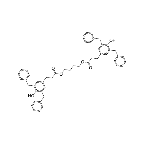 O=C(CCc1cc(Cc2ccccc2)c(O)c(Cc2ccccc2)c1)OCCCCOC(=O)CCc1cc(Cc2ccccc2)c(O)c(Cc2ccccc2)c1